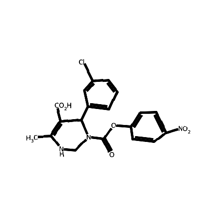 CC1=C(C(=O)O)C(c2cccc(Cl)c2)N(C(=O)Oc2ccc([N+](=O)[O-])cc2)CN1